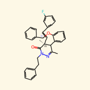 CC1=NN(CCc2ccccc2)C(=O)[C@@](C)(/C=C/c2cccc(F)c2)C1c1ccccc1OCc1ccccc1